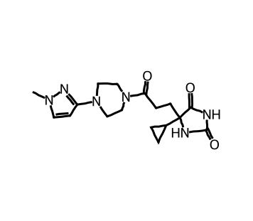 Cn1ccc(N2CCN(C(=O)CCC3(C4CC4)NC(=O)NC3=O)CC2)n1